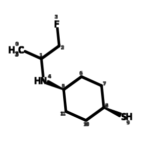 CC(CF)N[C@H]1CC[C@@H](S)CC1